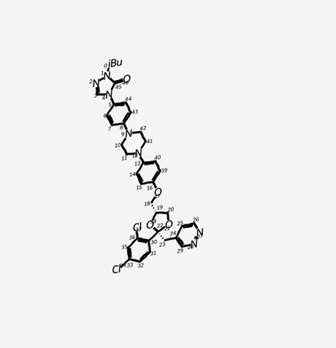 CCC(C)n1ncn(-c2ccc(N3CCN(c4ccc(OC[C@@H]5CO[C@@](Cc6ccnnc6)(c6ccc(Cl)cc6Cl)O5)cc4)CC3)cc2)c1=O